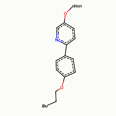 CCCCCCCCCOc1ccc(-c2ccc(OCCC(C)CC)cc2)nc1